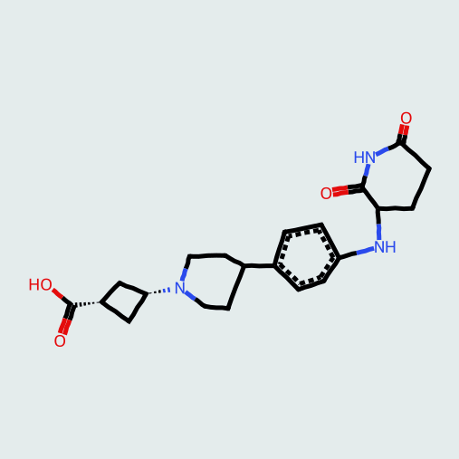 O=C1CCC(Nc2ccc(C3CCN([C@H]4C[C@@H](C(=O)O)C4)CC3)cc2)C(=O)N1